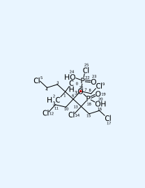 CC(C)(CCCl)C(CCCl)(CCCl)C(Cl)(CCCl)P(=O)(O)OP(=O)(O)Cl